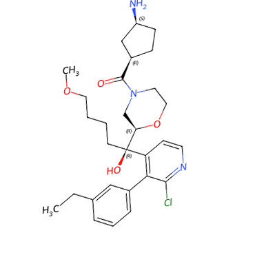 CCc1cccc(-c2c([C@](O)(CCCCOC)[C@H]3CN(C(=O)[C@@H]4CC[C@H](N)C4)CCO3)ccnc2Cl)c1